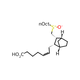 CCCCCCCC[S+]([O-])C[C@@H]1[C@@H]2CC[C@@H](C2)[C@@H]1C/C=C\CCCC(=O)O